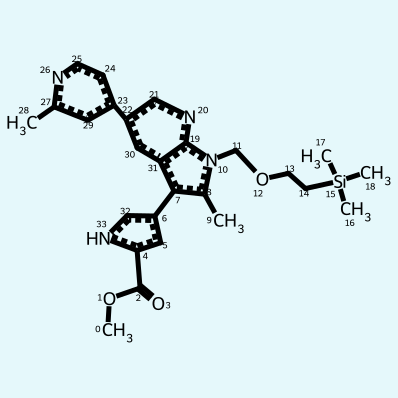 COC(=O)c1cc(-c2c(C)n(COCC[Si](C)(C)C)c3ncc(-c4ccnc(C)c4)cc23)c[nH]1